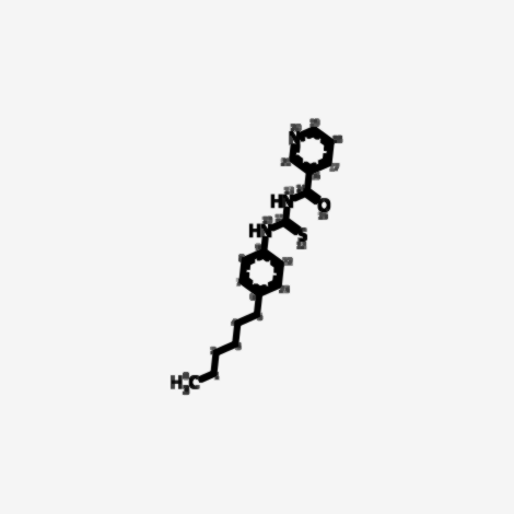 CCCCCCc1ccc(NC(=S)NC(=O)c2cccnc2)cc1